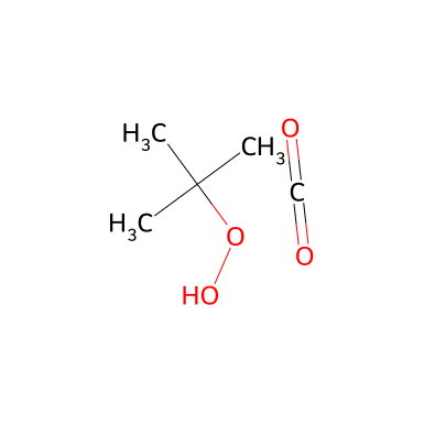 CC(C)(C)OO.O=C=O